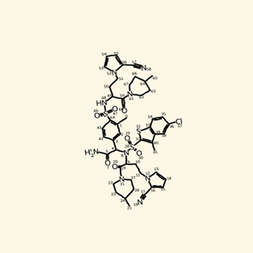 Cc1cc(C(C(N)=O)N(C(CCn2cccc2C#N)C(=O)N2CCC(C)CC2)S(=O)(=O)c2sc3ccc(Cl)cc3c2C)ccc1S(=O)(=O)NC(CCn1cccc1C#N)C(=O)N1CCC(C)CC1